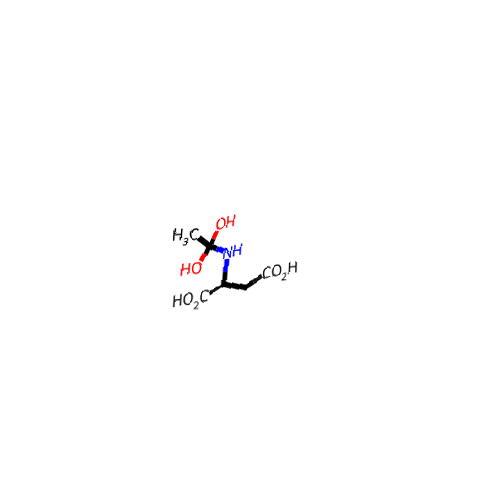 CC(O)(O)N[C@@H](CC(=O)O)C(=O)O